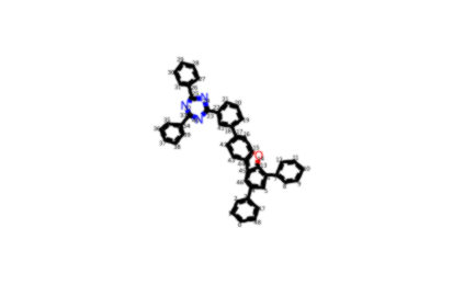 c1ccc(-c2cc(-c3ccccc3)c3oc4cc(-c5cccc(-c6nc(-c7ccccc7)nc(-c7ccccc7)n6)c5)ccc4c3c2)cc1